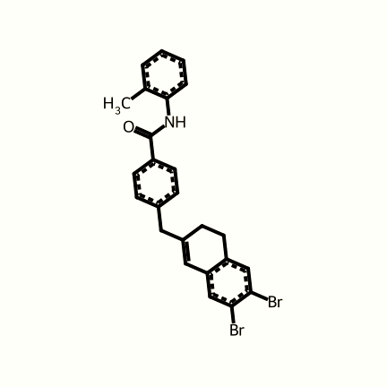 Cc1ccccc1NC(=O)c1ccc(CC2=Cc3cc(Br)c(Br)cc3CC2)cc1